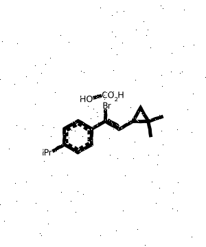 CC(C)c1ccc(C(Br)=CC2CC2(C)C)cc1.O=C(O)O